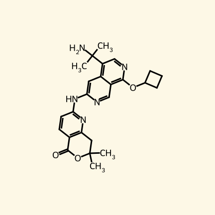 CC1(C)Cc2nc(Nc3cc4c(C(C)(C)N)cnc(OC5CCC5)c4cn3)ccc2C(=O)O1